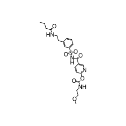 CCCC(=O)NCCc1cccc(S(=O)(=O)NC(=O)c2ccc(OC(=O)NCCOC)nc2)c1